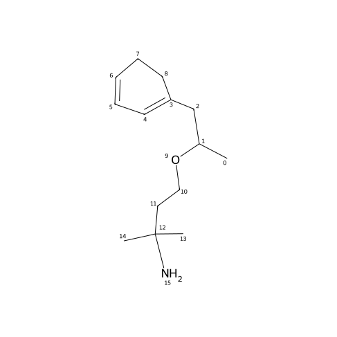 CC(CC1=CC=CCC1)OCCC(C)(C)N